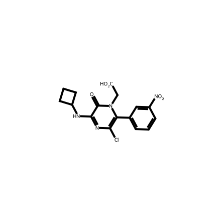 O=C(O)Cn1c(-c2cccc([N+](=O)[O-])c2)c(Cl)nc(NC2CCC2)c1=O